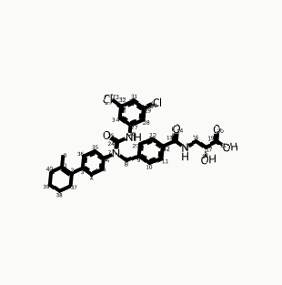 CC1=C(c2ccc(N(Cc3ccc(C(=O)NC[C@@H](O)C(=O)O)cc3)C(=O)Nc3cc(Cl)cc(Cl)c3)cc2)CCCC1